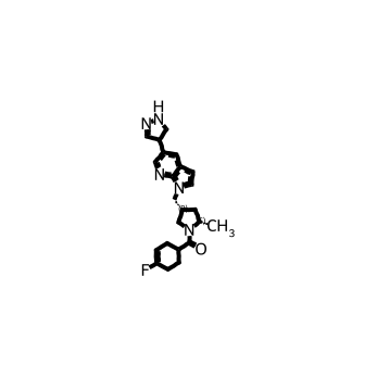 C[C@H]1C[C@@H](Cn2ccc3cc(C4C=NNC4)cnc32)CN1C(=O)C1CC=C(F)CC1